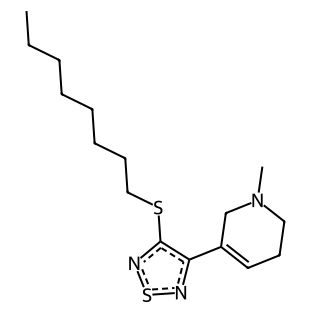 CCCCCCCCSc1nsnc1C1=CCCN(C)C1